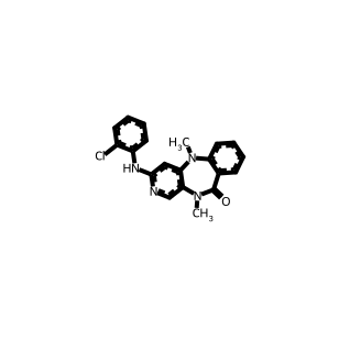 CN1C(=O)c2ccccc2N(C)c2cc(Nc3ccccc3Cl)ncc21